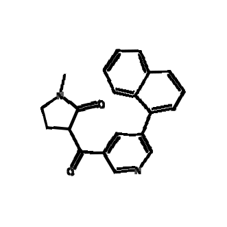 CN1CCC(C(=O)c2cncc(-c3cccc4ccccc34)c2)C1=O